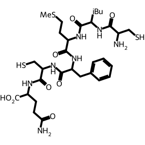 CCC(C)C(NC(=O)C(N)CS)C(=O)NC(CCSC)C(=O)NC(Cc1ccccc1)C(=O)NC(CS)C(=O)NC(CCC(N)=O)C(=O)O